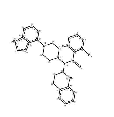 O=C(c1c(F)cccc1F)C(C1CCc2ccccc2N1)N1CCN(c2cccc3[nH]ccc23)CC1